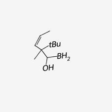 BC(O)C(C)(/C=C\C)C(C)(C)C